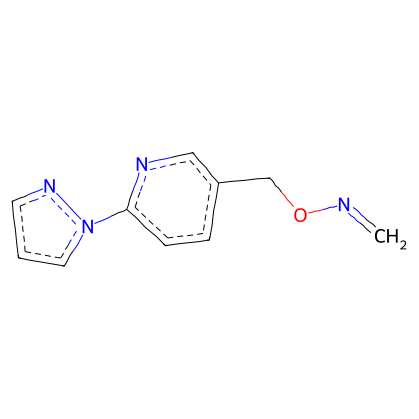 C=NOCc1ccc(-n2cccn2)nc1